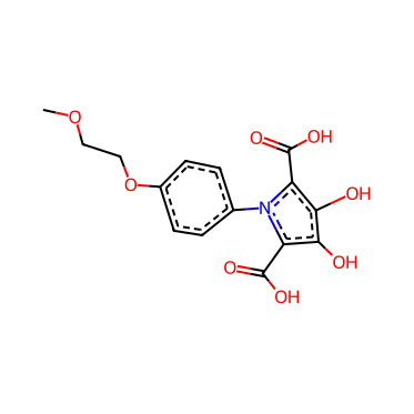 COCCOc1ccc(-n2c(C(=O)O)c(O)c(O)c2C(=O)O)cc1